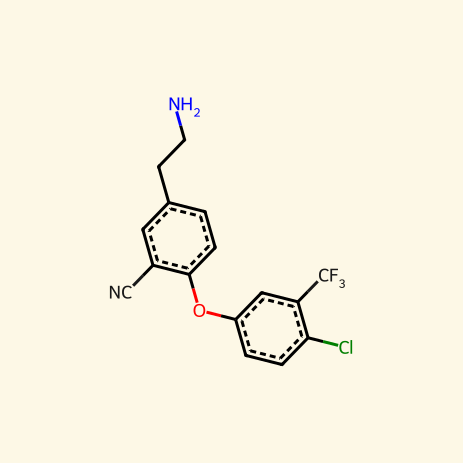 N#Cc1cc(CCN)ccc1Oc1ccc(Cl)c(C(F)(F)F)c1